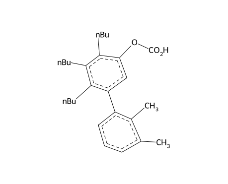 CCCCc1c(OC(=O)O)cc(-c2cccc(C)c2C)c(CCCC)c1CCCC